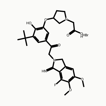 Br.COc1cc2c(c(F)c1OC)C(=N)N(CC(=O)c1cc(OC3CCN(CC(=O)O)C3)c(O)c(C(C)(C)C)c1)C2